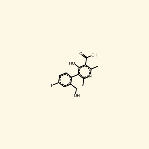 Cc1nc(C)c(-c2ccc(F)cc2CO)c(O)c1C(=O)O